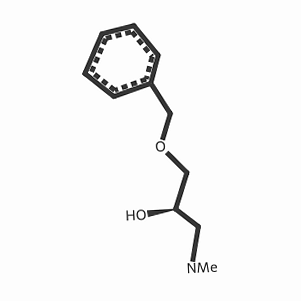 CNC[C@@H](O)COCc1ccccc1